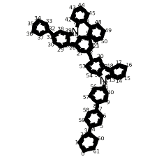 c1ccc(-c2ccc(-c3ccc(-n4c5ccccc5c5cc(-c6ccc7c(c6)c6ccc(-c8ccccc8)cc6n7-c6ccccc6-c6ccccc6)ccc54)cc3)cc2)cc1